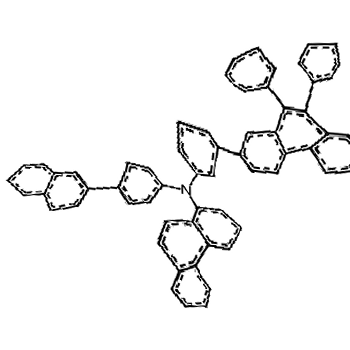 c1ccc(-c2c(-c3ccccc3)c3cc(-c4cccc(N(c5ccc(-c6ccc7ccccc7c6)cc5)c5cccc6c5ccc5ccccc56)c4)ccc3c3ccccc23)cc1